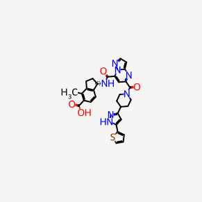 Cc1c(C(=O)O)ccc2c1CC[C@@H]2NC(=O)c1cc(C(=O)N2CCC(c3cc(-c4cccs4)[nH]n3)CC2)nc2ccnn12